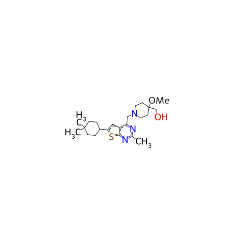 COC1(CO)CCN(Cc2nc(C)nc3sc(C4CCC(C)(C)CC4)cc23)CC1